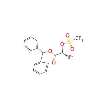 CC(C)[C@H](OS(=O)(=O)C(F)(F)F)C(=O)OC(c1ccccc1)c1ccccc1